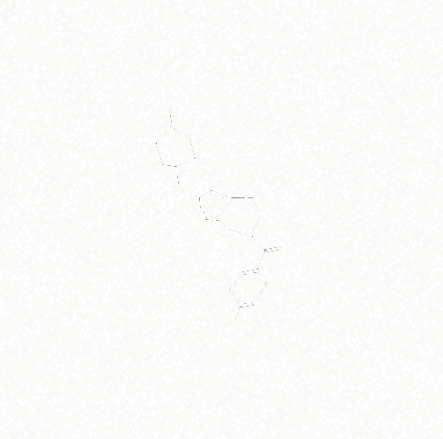 CC(C)N1CCC(Oc2cc3c(s2)CN(C(=O)c2ccc(F)cc2)CC3)CC1